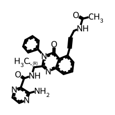 CC(=O)NCC#Cc1cccc2nc([C@@H](C)NC(=O)c3nccnc3N)n(-c3ccccc3)c(=O)c12